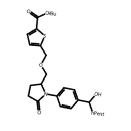 CCCCCC(O)c1ccc(N2C(=O)CCC2COCc2ccc(C(=O)OCC(C)C)s2)cc1